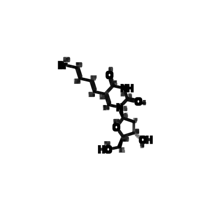 O=c1[nH]c(=O)n([C@H]2C[C@H](O)[C@@H](CO)O2)cc1C=CC=CBr